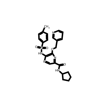 Cc1ccc(S(=O)(=O)Nc2ncc(C(=O)NC3CCCC3)nc2OCc2cccnc2)cc1